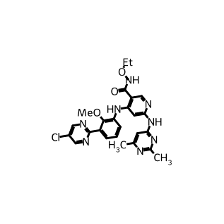 CCONC(=O)c1cnc(Nc2cc(C)nc(C)n2)cc1Nc1cccc(-c2ncc(Cl)cn2)c1OC